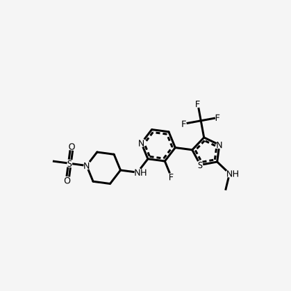 CNc1nc(C(F)(F)F)c(-c2ccnc(NC3CCN(S(C)(=O)=O)CC3)c2F)s1